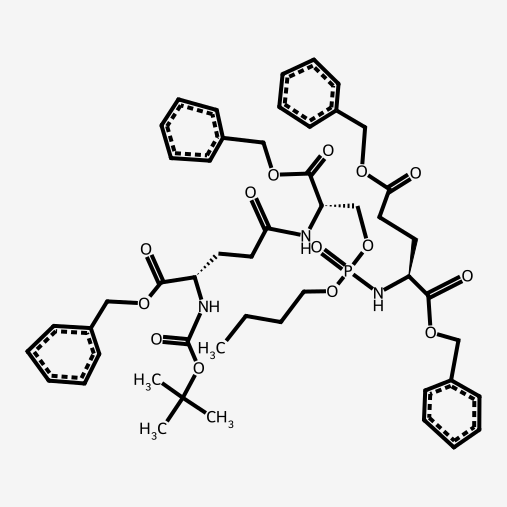 CCCCOP(=O)(N[C@@H](CCC(=O)OCc1ccccc1)C(=O)OCc1ccccc1)OC[C@H](NC(=O)CC[C@H](NC(=O)OC(C)(C)C)C(=O)OCc1ccccc1)C(=O)OCc1ccccc1